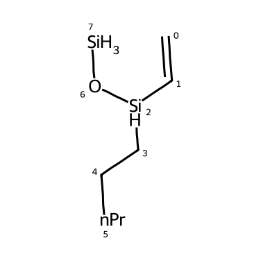 C=C[SiH](CCCCC)O[SiH3]